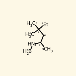 BNC(C)CC(C)(C)CC